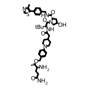 Cc1ncsc1-c1ccc(CNC(=O)[C@@H]2C[C@@H](O)CN2C(=O)[C@@H](NC(=O)CC2CCN(c3ccc(CO[C@H](C)[C@@H](N)CCC(N)=O)cc3)CC2)C(C)(C)C)cc1